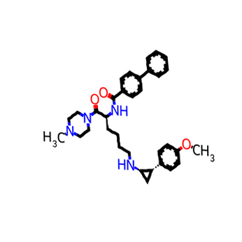 COc1ccc([C@@H]2C[C@H]2NCCCC[C@H](NC(=O)c2ccc(-c3ccccc3)cc2)C(=O)N2CCN(C)CC2)cc1